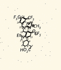 CCN(C[C@H]1CC[C@H](CC(=O)O)CC1)c1ccc(OC(F)(F)F)cc1CN(Cc1cc(C(F)(F)F)cc(C(F)(F)F)c1)c1nnn(C)n1